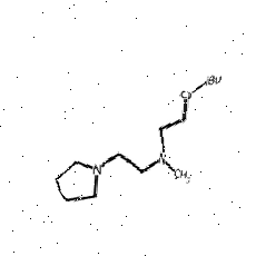 CCC(C)OCCN(C)CCN1CCCC1